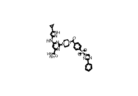 CCCNC(=O)c1cc(Nc2cc(C3CC3)[nH]n2)nc(N2CCN(C(=O)c3ccc(S(=O)(=O)n4cnc(-c5ccccc5)n4)cc3)CC2)n1